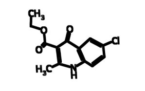 CCOC(=O)c1c(C)[nH]c2ccc(Cl)cc2c1=O